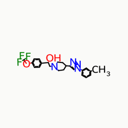 Cc1cccc(-n2cc(C3CCN(CC(O)c4ccc(OC(F)(F)F)cc4)CC3)nn2)c1